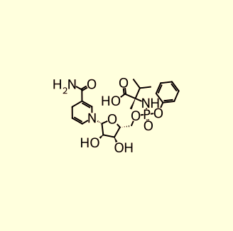 CC(C)[C@](C)(NP(=O)(OC[C@H]1O[C@@H](N2C=CCC(C(N)=O)=C2)[C@H](O)[C@@H]1O)Oc1ccccc1)C(=O)O